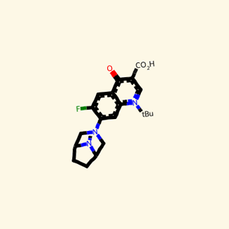 CN1C2CCC1CN(c1cc3c(cc1F)c(=O)c(C(=O)O)cn3C(C)(C)C)C2